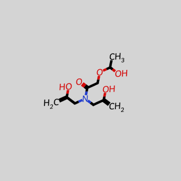 C=C(O)CN(CC(=C)O)C(=O)COC(C)O